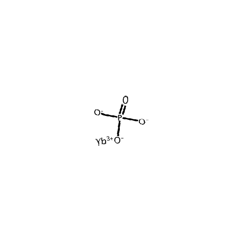 O=P([O-])([O-])[O-].[Yb+3]